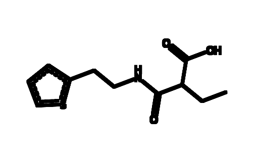 CCC(C(=O)O)C(=O)NCCc1cccs1